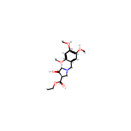 CCOC(=O)C1CN(Cc2cc(OC)c(OC)cc2OC)CC1=O